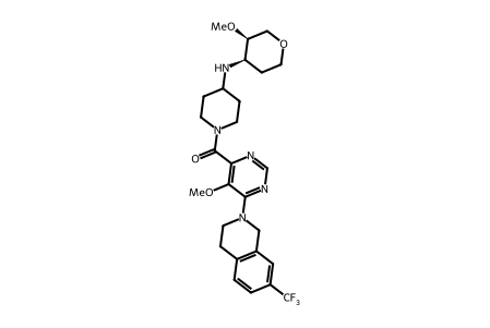 COc1c(C(=O)N2CCC(N[C@@H]3CCOC[C@@H]3OC)CC2)ncnc1N1CCc2ccc(C(F)(F)F)cc2C1